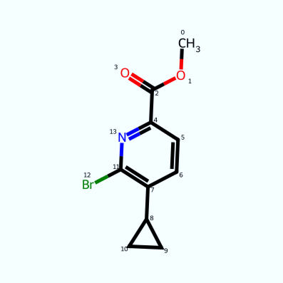 COC(=O)c1ccc(C2CC2)c(Br)n1